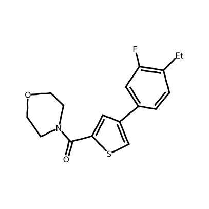 CCc1ccc(-c2csc(C(=O)N3CCOCC3)c2)cc1F